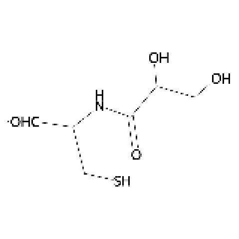 O=[C]C(CS)NC(=O)C(O)CO